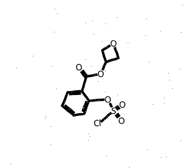 O=C(OC1COC1)c1ccccc1OS(=O)(=O)Cl